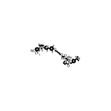 Cc1ncsc1-c1ccc(CNC(=O)[C@@H]2CCCN2C(=O)C(NC(=O)COCCCCCOc2c(F)cc(-c3ncc(N4C(=S)N(c5ccc(C#N)c(C(F)(F)F)c5F)C(=O)C4(C)C)cc3F)cc2F)C(C)(C)C)cc1